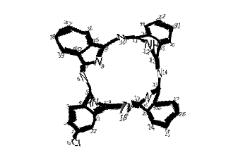 Clc1ccc2c3nc4nc(nc5[nH]c(nc6nc(nc([nH]3)c2c1)-c1ccccc1-6)c1ccccc51)-c1ccccc1-4